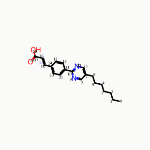 CCCCCCCc1cnc(-c2ccc(/C=C/C(=O)O)cc2)nc1